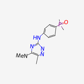 CNc1nc(Nc2ccc(P(C)(C)=O)cc2)nnc1C